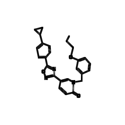 CCCOc1cccc(Cn2cc(-c3noc(-c4ccc(C5CC5)cc4)n3)ccc2=O)c1